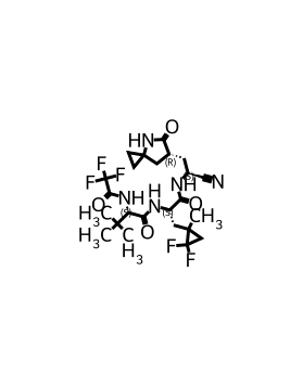 CC(C)(C)[C@H](NC(=O)C(F)(F)F)C(=O)N[C@@H](CC1(C)CC1(F)F)C(=O)N[C@H](C#N)C[C@@H]1CC2(CC2)NC1=O